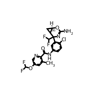 Cc1cc(OC(F)F)cnc1C(=O)Nc1ccc(Cl)c(C2(C(F)F)N=C(N)O[C@@H]3CC32)c1